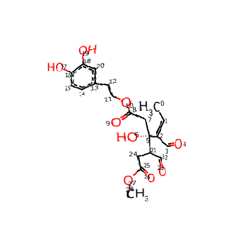 C/C=C(/C=O)[C@](O)(CC(=O)OCCc1ccc(O)c(O)c1)C(C=O)CC(=O)OC